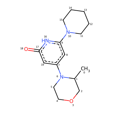 CC1COCCN1c1cc(N2CCCCC2)[nH]c(=O)c1